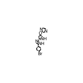 Brc1ccc(-c2cnc([C@@H]3C[C@H](Oc4cnccn4)CN3)[nH]2)cc1